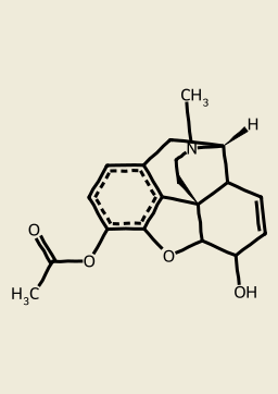 CC(=O)Oc1ccc2c3c1OC1C(O)C=CC4[C@@H](C2)N(C)CC[C@]314